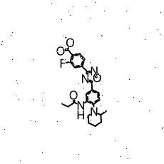 CCC(=O)Nc1cc(-c2nc(-c3ccc(C(=O)OC)c(F)c3)no2)ccc1N1CCCCC1C